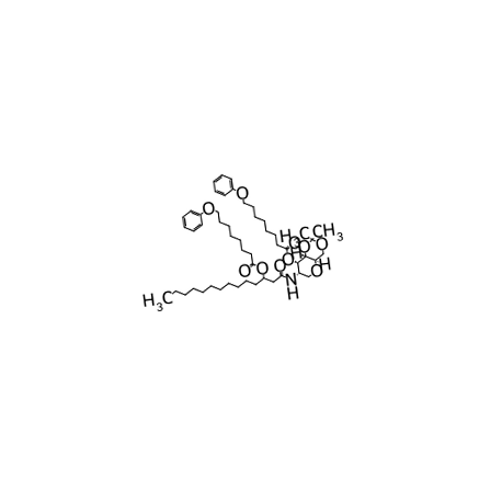 CCCCCCCCCCCC(CC(=O)N[C@H]1CO[C@@H]2COC(C)(C)O[C@H]2[C@@H]1OC(=O)CCCCCCCOc1ccccc1)OC(=O)CCCCCCCOc1ccccc1